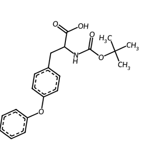 CC(C)(C)OC(=O)NC(Cc1ccc(Oc2ccccc2)cc1)C(=O)O